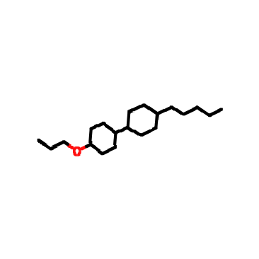 CCCCCC1CCC(C2CCC(OCCC)CC2)CC1